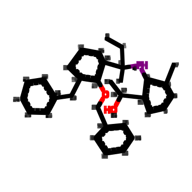 CCC(C)(Pc1c(C)cccc1C(C)O)c1cccc(Cc2ccccc2)c1OCc1ccccc1